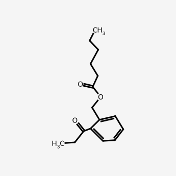 CCCCCC(=O)OCc1ccccc1C(=O)CC